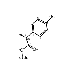 CCc1ccc([C@H](C)C(=O)OC(C)(C)C)cc1